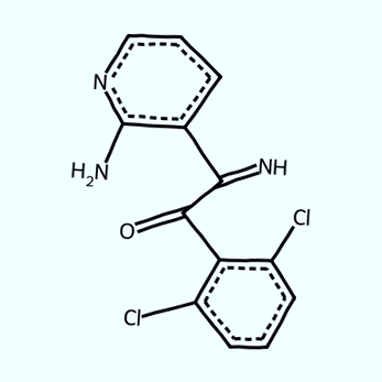 N=C(C(=O)c1c(Cl)cccc1Cl)c1cccnc1N